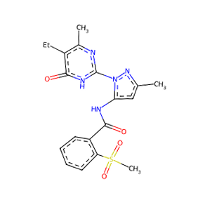 CCc1c(C)nc(-n2nc(C)cc2NC(=O)c2ccccc2S(C)(=O)=O)[nH]c1=O